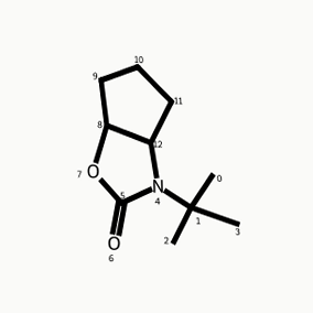 CC(C)(C)N1C(=O)OC2CCCC21